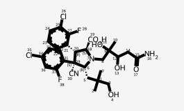 CC(C)(CO)C[C@H]1N(CC(C)(O)C(O)CC(N)=O)[C@H](C(=O)O)[C@@H](c2cccc(Cl)c2F)[C@]1(C#N)c1ccc(Cl)cc1F